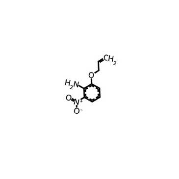 C=CCOc1cccc([N+](=O)[O-])c1N